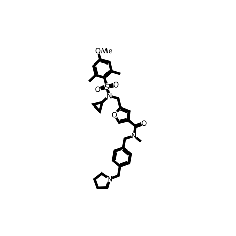 COc1cc(C)c(S(=O)(=O)N(Cc2cc(C(=O)N(C)Cc3ccc(CN4CCCC4)cc3)co2)C2CC2)c(C)c1